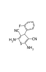 N#CC1=C(N)SC(N)=C(C#N)C1c1ccccc1F